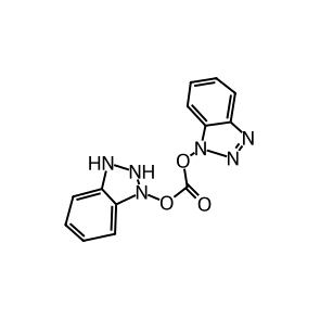 O=C(ON1NNc2ccccc21)On1nnc2ccccc21